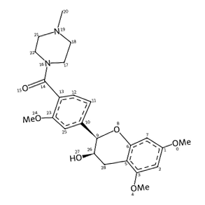 COc1cc(OC)c2c(c1)O[C@H](c1ccc(C(=O)N3CCN(C)CC3)c(OC)c1)[C@H](O)C2